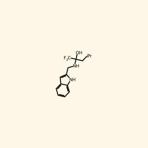 CC(C)CC(O)(NCc1cc2ccccc2[nH]1)C(F)(F)F